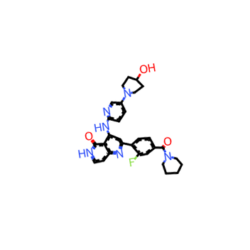 O=C(c1ccc(-c2cc(Nc3ccc(N4CCC(O)CC4)cn3)c3c(=O)[nH]ccc3n2)c(F)c1)N1CCCCC1